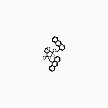 O=C(OCc1c2ccccc2cc2ccccc12)C1CCOC1C(=O)OCc1cccc2cc3ccccc3cc12